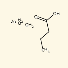 CCCC(=O)O.O.O.[Zn]